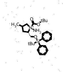 CC1C[C@@H](CO[Si](c2ccccc2)(c2ccccc2)C(C)(C)C)[N@@+](N)(C(=O)OC(C)(C)C)C1